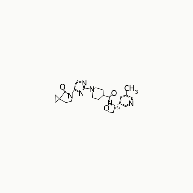 Cc1cncc([C@@H]2CCON2C(=O)C2CCN(c3nccc(N4CCC5(CC5)C4=O)n3)CC2)c1